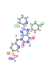 C[C@@H](c1ccc(S(N)(=O)=O)cn1)n1c(=O)n(C)c(=O)c2c1nc(-c1ncccc1Cl)n2-c1ccc(Cl)cc1